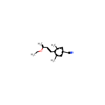 C=C(/C=C/c1c(C)cc(C#N)cc1C)OCC